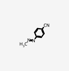 CN=Nc1ccc(C#N)cc1